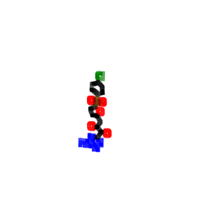 O=C(Cc1ccc(S(=O)(=O)c2ccc(Cl)cc2)o1)C(=O)c1nn[nH]n1